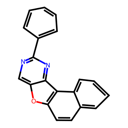 c1ccc(-c2ncc3oc4ccc5ccccc5c4c3n2)cc1